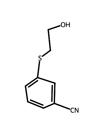 N#Cc1cccc(SCCO)c1